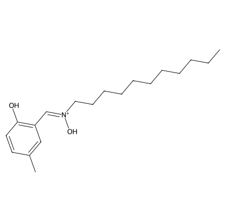 CCCCCCCCCCC[N+](O)=Cc1cc(C)ccc1O